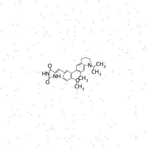 COc1ccc(/C=C2\NC(=O)NC2=O)cc1-c1cc2c(cc1C)N(C(C)C)CCC2